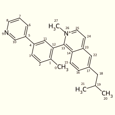 Cc1ccc(-c2cccnc2)cc1-c1c2ccc(CC(C)C)cc2cc[n+]1C